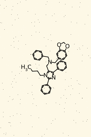 CCCCn1c(-c2ccccc2)nc(-c2ccccc2)c1CN(Cc1cc[c]cc1)Cc1ccc2c(c1)OCO2